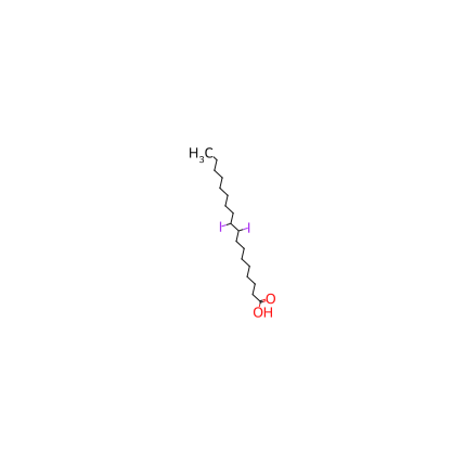 CCCCCCCCC(I)C(I)CCCCCCCC(=O)O